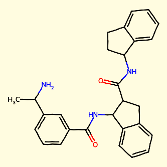 CC(N)c1cccc(C(=O)NC2c3ccccc3CC2C(=O)NC2CCc3ccccc32)c1